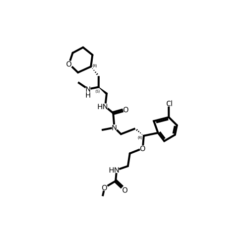 CN[C@H](CNC(=O)N(C)CC[C@@H](OCCNC(=O)OC)c1cccc(Cl)c1)C[C@H]1CCCOC1